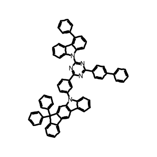 c1ccc(-c2ccc(-c3nc(-c4cccc(-n5c6ccccc6c6cc7c(cc65)C(c5ccccc5)(c5ccccc5)c5ccccc5-7)c4)nc(-n4c5ccccc5c5c(-c6ccccc6)cccc54)n3)cc2)cc1